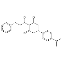 CN(C)c1ccc(C2CC(=O)C(C(=O)CCc3ccccc3)C(=O)C2)cc1